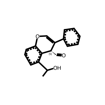 CC(O)c1cccc2c1[C@@H](C=O)C(c1ccccc1)=CO2